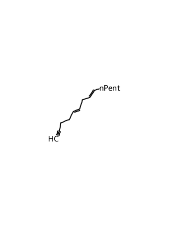 C#CCC/C=C/C/C=C/CCCCC